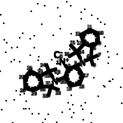 [C-]#[N+]c1c(N2C(C)(C)c3ccccc3C2(C)C)cccc1N1C(C)(C)c2ccccc2C1(C)C